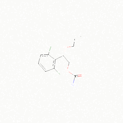 COCO[C@@H](c1c(F)cccc1Cl)[C@H](C)OC(N)=O